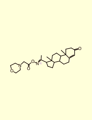 C/C(=N\OC(=O)CN1CCOCC1)C1CCC2C3CCC4=CC(=O)CCC4(C)C3CCC12C